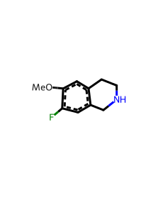 COc1cc2c(cc1F)CNCC2